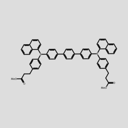 COC(=O)CCc1ccc(N(c2ccc(-c3ccc(-c4ccc(N(c5ccc(CCC(=O)OC)cc5)c5cccc6ccccc56)cc4)cc3)cc2)c2cccc3ccccc23)cc1